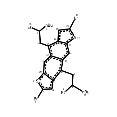 CCCCC(CC)Cc1c2cc(Br)sc2cc2c(CC(CC)CCCC)c3cc(Br)sc3cc12